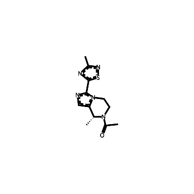 CC(=O)N1CCn2c(cnc2-c2nc(C)ns2)[C@H]1C